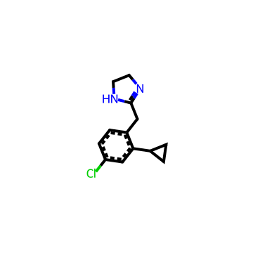 Clc1ccc(CC2=NCCN2)c(C2CC2)c1